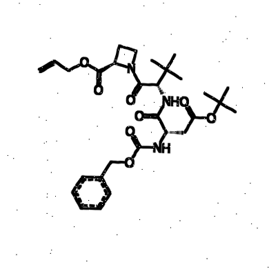 C=CCOC(=O)[C@H]1CCN1C(=O)[C@@H](NC(=O)[C@H](CC(=O)OC(C)(C)C)NC(=O)OCc1ccccc1)C(C)(C)C